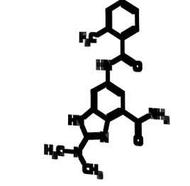 CN(C)c1nc2c(C(N)=O)cc(NC(=O)c3ccccc3C(F)(F)F)cc2[nH]1